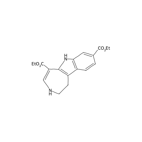 CCOC(=O)C1=CNCCc2c1[nH]c1cc(C(=O)OCC)ccc21